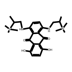 CC(CNc1ccc(NCC(C)[N+](C)(C)C)c2c1C(=O)c1c(O)ccc(O)c1C2=O)[N+](C)(C)C